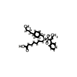 C=CC(c1cccnc1)S(=O)(=O)N(CCCCCCC(=O)O)Cc1ccc(CCCC)cc1